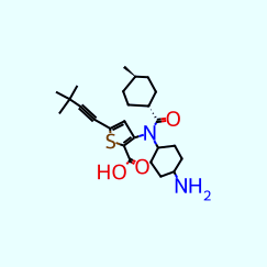 CC(C)(C)C#Cc1cc(N(C(=O)[C@H]2CC[C@H](C)CC2)C2CCC(N)CC2)c(C(=O)O)s1